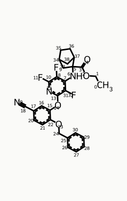 CCOC(=O)C1(Nc2c(F)c(F)nc(Oc3cc(C#N)ccc3OCc3ccccc3)c2F)CC2CCC1C2